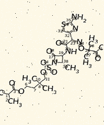 CC(C)C(=O)OCCC(C)(C)COS(=O)(=O)N1C(=O)[C@@H](NC(=O)C(=NOC(C)(C)C(=O)O)c2csc(N)n2)[C@@H]1C